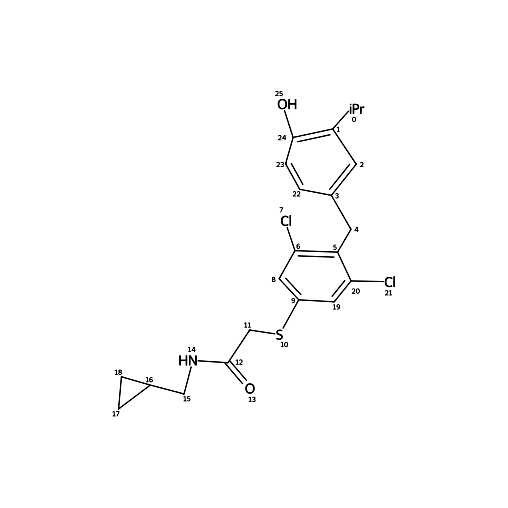 CC(C)c1cc(Cc2c(Cl)cc(SCC(=O)NCC3CC3)cc2Cl)ccc1O